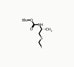 C[C@H](CSCI)NC(=O)OC(C)(C)C